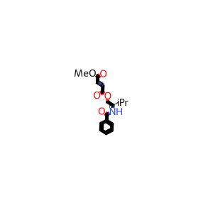 COC(=O)/C=C/C(=O)OC[C@@H](NC(=O)c1ccccc1)C(C)C